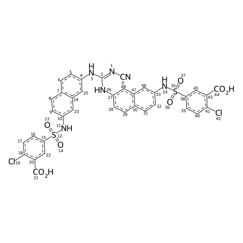 N#CN=C(Nc1ccc2ccc(NS(=O)(=O)c3ccc(Cl)c(C(=O)O)c3)cc2c1)Nc1ccc2ccc(NS(=O)(=O)c3ccc(Cl)c(C(=O)O)c3)cc2c1